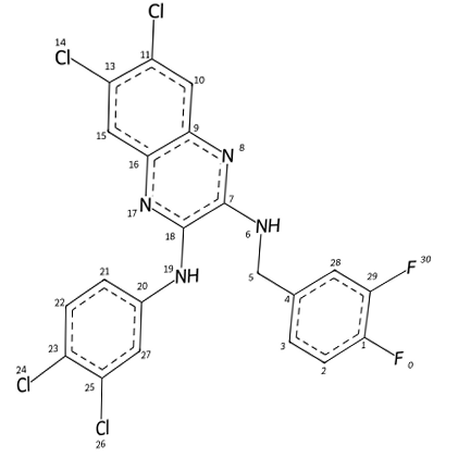 Fc1ccc(CNc2nc3cc(Cl)c(Cl)cc3nc2Nc2ccc(Cl)c(Cl)c2)cc1F